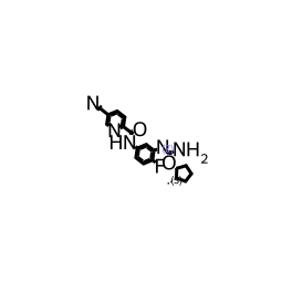 C[C@H]1CCCC1O/C(N)=N\c1cc(NC(=O)c2ccc(C#N)cn2)ccc1F